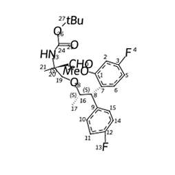 COc1cc(F)ccc1[C@H](c1ccc(F)cc1)[C@H](C)OC[C@@](C)(C=O)NC(=O)OC(C)(C)C